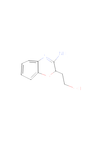 NC1=Nc2ccccc2OC1CCO